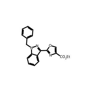 CCOC(=O)c1coc(-c2nn(Cc3ccccc3)c3ccccc23)n1